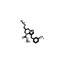 CC(C)(C)OC(=O)N1CC(CN=[N+]=[N-])Cn2ncc(Cc3cccc(C(F)(F)F)c3)c21